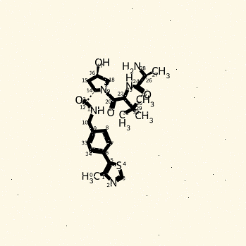 Cc1ncsc1-c1ccc(CNC(=O)[C@@H]2C[C@@H](O)CN2C(=O)C(NC(=O)[C@H](C)N)C(C)(C)C)cc1